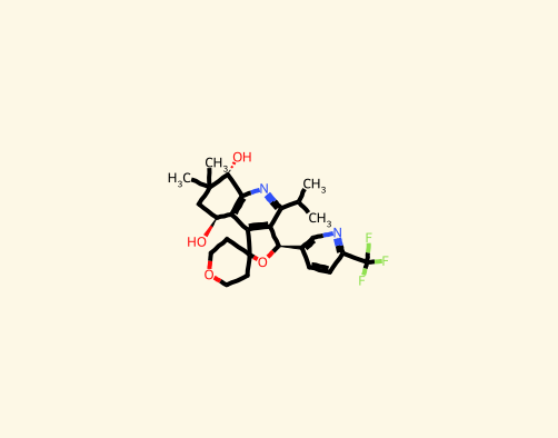 CC(C)c1nc2c(c3c1[C@@H](c1ccc(C(F)(F)F)nc1)OC31CCOCC1)[C@@H](O)CC(C)(C)[C@@H]2O